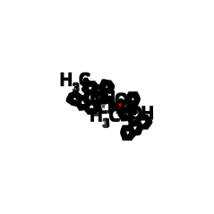 Cc1cc(-c2ccccc2OC(C)CC[C@H](C)Oc2ccccc2-c2cc(C)cc(-c3c4ccccc4cc4ccccc34)c2O)c(O)c(-c2c3ccccc3cc3ccccc23)c1